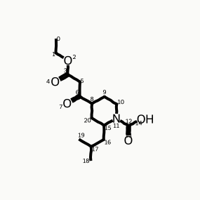 CCOC(=O)CC(=O)C1CCN(C(=O)O)C(CC(C)C)C1